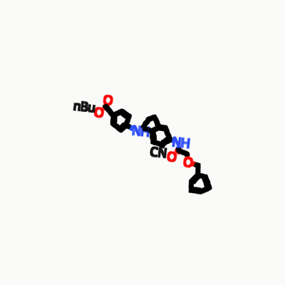 CCCCOC(=O)c1ccc(NC2CCc3cc(NC(=O)COCc4ccccc4)c(C#N)cc32)cc1